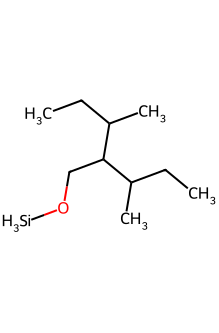 CCC(C)C(CO[SiH3])C(C)CC